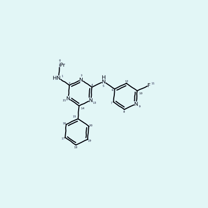 CC(C)Nc1nc(Nc2ccnc(F)c2)nc(-c2ccccc2)n1